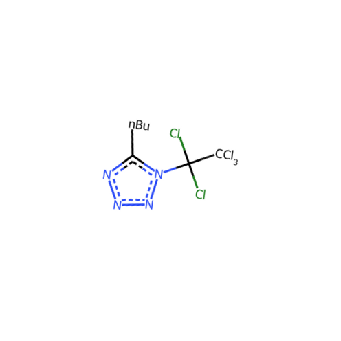 CCCCc1nnnn1C(Cl)(Cl)C(Cl)(Cl)Cl